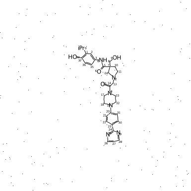 CC(C)c1cc(NC(=O)C2(CO)CCN(CC(=O)N3CCN(c4ccc(-c5ncccn5)cc4)CC3)C2)ccc1O